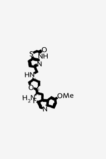 COc1ccc2ncc(F)c(C[C@@H](N)[C@@H]3CC[C@@H](NCc4ccc5c(n4)NC(=O)CS5)CO3)c2c1